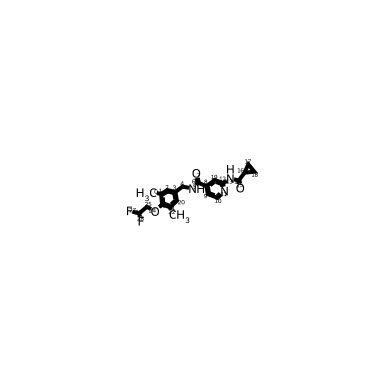 Cc1cc(CNC(=O)c2ccnc(NC(=O)C3CC3)c2)cc(C)c1OCC(F)F